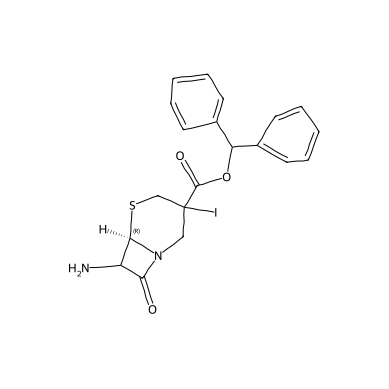 NC1C(=O)N2CC(I)(C(=O)OC(c3ccccc3)c3ccccc3)CS[C@H]12